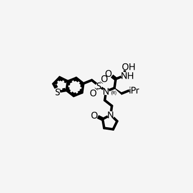 CC(C)C[C@H](C(=O)NO)N(CCN1CCCC1=O)S(=O)(=O)Cc1ccc2sccc2c1